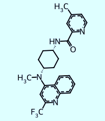 Cc1ccnc(C(=O)N[C@H]2CC[C@@H](N(C)c3cc(C(F)(F)F)nc4ccccc34)CC2)c1